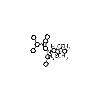 CC1(C)C2=C(c3ccccc31)C(C)(C)c1cc(N(c3ccc(-c4ccccc4)cc3)c3ccc4c(c3)c3cc5ccccc5cc3n4-c3cc(-c4ccccc4)cc(-c4ccccc4)c3)ccc12